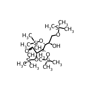 C[Si](C)(C)OC[C@@H](O)[C@@H](O[Si](C)(C)C)[C@H](O[Si](C)(C)C)[C@H](C=O)O[Si](C)(C)C